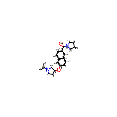 CC(C)N1CCC(Oc2ccc3cc(C(=O)N4CCCC4)ccc3c2)C1